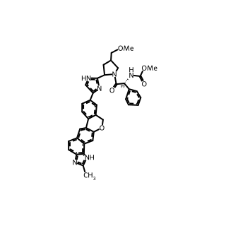 COCC1CC(c2nc(-c3ccc4c(c3)COc3cc5c(ccc6nc(C)[nH]c65)cc3-4)c[nH]2)N(C(=O)[C@H](NC(=O)OC)c2ccccc2)C1